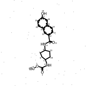 CC(C)(C)OC(=O)NC1CCC(NC(=O)c2ccc3cc(O)ccc3c2)CC1